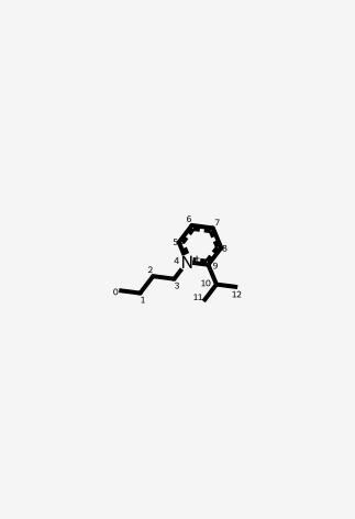 CCCC[n+]1ccccc1C(C)C